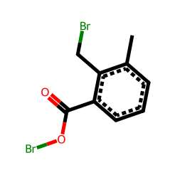 Cc1cccc(C(=O)OBr)c1CBr